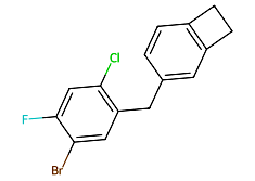 Fc1cc(Cl)c(Cc2ccc3c(c2)CC3)cc1Br